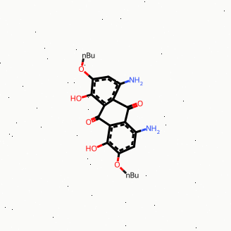 CCCCOc1cc(N)c2c(c1O)C(=O)c1c(O)c(OCCCC)cc(N)c1C2=O